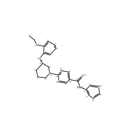 CCOc1ccccc1O[C@@H]1CCCN(c2ncc(C(=O)Nc3cncnc3)cn2)C1